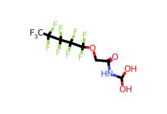 O=C(COC(F)(F)C(F)(F)C(F)(F)C(F)(F)C(F)(F)F)NC(O)O